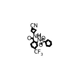 N#CC12CC(NC(=O)c3ccc(C(F)(F)F)cc3NS(=O)(=O)c3ccccc3)(C1)C2